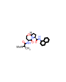 CNC(C)C(=O)N[C@H]1CCO[C@H]2CC[C@@H](C(=O)Nc3cccc4ccccc34)N2C1=O